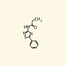 CCC(=O)Nc1nsc(-c2ccccc2)n1